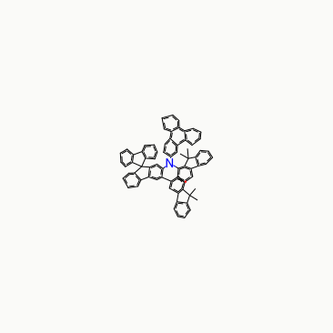 CC1(C)c2ccccc2-c2cc(-c3cc4c(cc3N(c3ccc5c6ccccc6c6ccccc6c5c3)c3cccc5c3C(C)(C)c3ccccc3-5)C3(c5ccccc5-c5ccccc53)c3ccccc3-4)ccc21